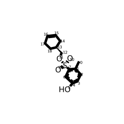 Cc1ccc(O)cc1S(=O)(=O)OC[C@@H]1CC=CCC1